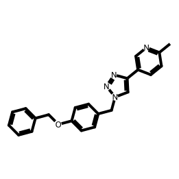 Cc1ccc(-c2cn(Cc3ccc(OCc4ccccc4)cc3)nn2)cn1